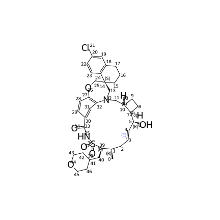 C[C@@H]1C/C=C/[C@H](O)[C@@H]2CC[C@H]2CN2C[C@@]3(CCCc4cc(Cl)ccc43)COc3ccc(cc32)C(=O)NS(=O)(=O)[C@@H]1CC1CCOCC1